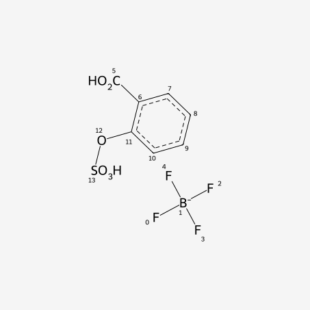 F[B-](F)(F)F.O=C(O)c1ccccc1OS(=O)(=O)O